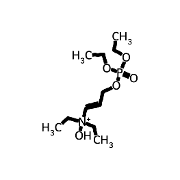 CCOP(=O)(OCC)OC/C=C/[N+](O)(CC)CC